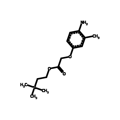 Cc1cc(OCC(=O)OCC[Si](C)(C)C)ccc1N